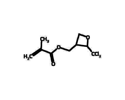 C=C(C)C(=O)OCC1COC1C(Cl)(Cl)Cl